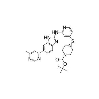 Cc1cc(-c2ccc3nc(Nc4cc(SN5CCN(C(=O)OC(C)(C)C)CC5)ccn4)[nH]c3c2)ncn1